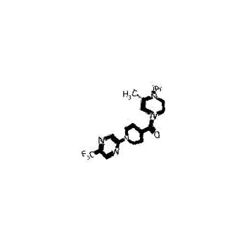 CC(C)N1CCN(C(=O)C2CCN(c3cnc(C(F)(F)F)cn3)CC2)C[C@@H]1C